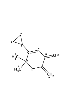 C=C1CC(C)(C)C(C2CC2)=CC1=O